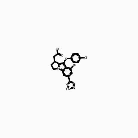 O=C(O)CC1CCn2c1c(Sc1ccc(Cl)cc1)c1c(Br)cc(-c3nn[nH]n3)cc12